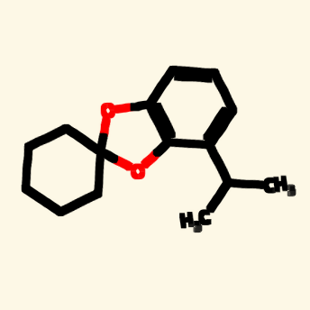 CC(C)c1cccc2c1OC1(CCCCC1)O2